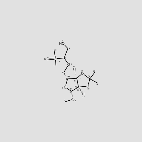 CO[C@@H]1O[C@H](COC(CO)P(C)(C)=O)[C@H]2OC(C)(C)O[C@@H]12